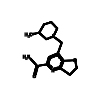 C[C@H]1CCCN(Cc2cc(C(N)=O)nc3c2OCC3)C1